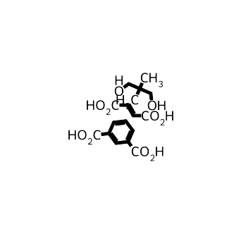 CC(C)(CO)CO.O=C(O)C=CC(=O)O.O=C(O)c1cccc(C(=O)O)c1